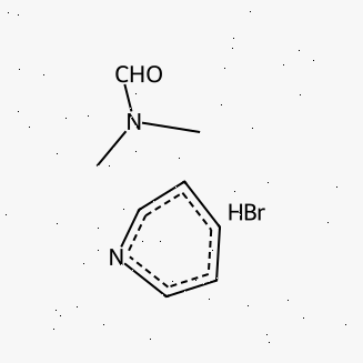 Br.CN(C)C=O.c1ccncc1